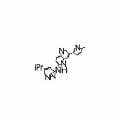 Cc1ccc(-c2cnc3ccc(Nc4cc(C(C)C)cnn4)nc3c2)cn1